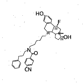 C[C@]12C[C@H](F)C3c4ccc(O)cc4C[C@@H](CCCCCCN(CCCc4ccccc4)C(=O)c4ccc(C#N)cc4)C3C1CC[C@@H]2O